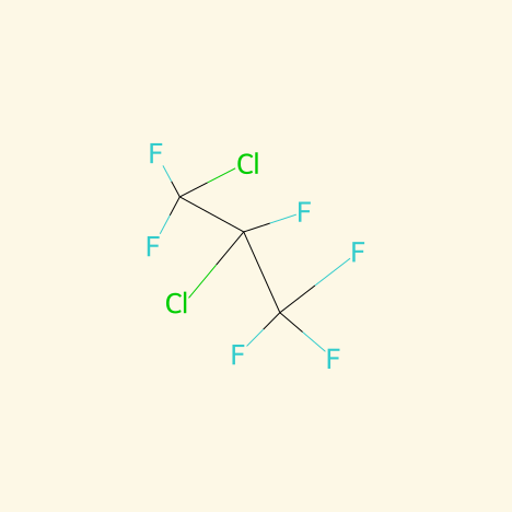 FC(F)(F)C(F)(Cl)C(F)(F)Cl